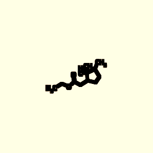 CCOC(=O)CC1CCC(C)C1(C)C